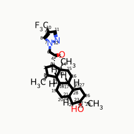 C[C@H]1C[C@H](C(=O)Cn2cc(C(F)(F)F)cn2)[C@@]2(C)CC[C@H]3[C@@H](CC[C@@H]4C[C@](C)(O)CC[C@@H]43)[C@H]12